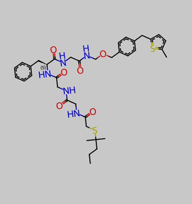 CCCC(C)(C)SCC(=O)NCC(=O)NCC(=O)N[C@@H](Cc1ccccc1)C(=O)NCC(=O)NCOCc1ccc(Cc2ccc(C)s2)cc1